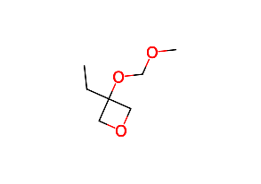 CCC1(OCOC)COC1